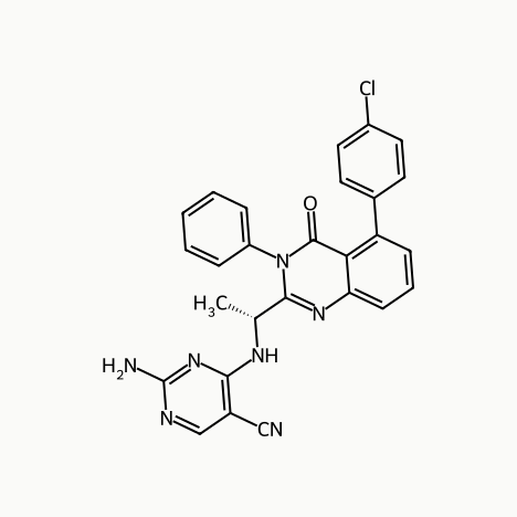 C[C@@H](Nc1nc(N)ncc1C#N)c1nc2cccc(-c3ccc(Cl)cc3)c2c(=O)n1-c1ccccc1